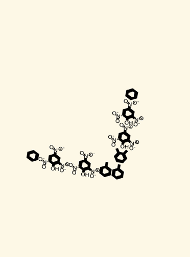 Cc1ccccc1.Cc1ccccc1.Cc1ccccc1C.O=[N+]([O-])c1cc([N+](=O)[O-])c(O)c([N+](=O)[O-])c1.O=[N+]([O-])c1cc([N+](=O)[O-])c(O)c([N+](=O)[O-])c1.O=[N+]([O-])c1cc([N+](=O)[O-])c(O)c([N+](=O)[O-])c1.O=[N+]([O-])c1cc([N+](=O)[O-])c(O)c([N+](=O)[O-])c1.c1ccccc1.c1ccccc1